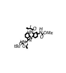 C=CC[C@H](NC(=O)OC(C)(C)C)c1nn(-c2ccc(NC(=O)OC)cc2NC(=O)[C@H](C)C=C)c2ccccc12